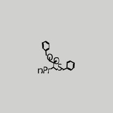 CCCC(CSCc1ccccc1)C(=O)COCc1ccccc1